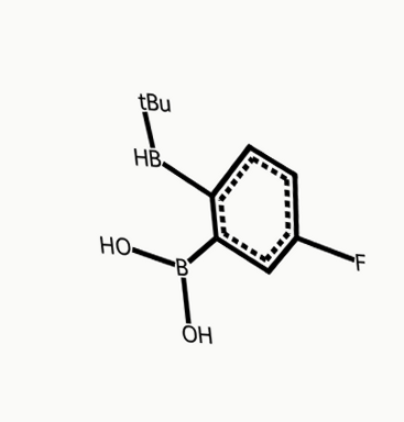 CC(C)(C)Bc1ccc(F)cc1B(O)O